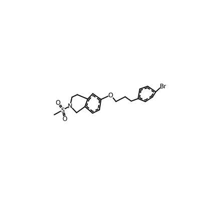 CS(=O)(=O)N1CCc2cc(OCCCc3ccc(Br)cc3)ccc2C1